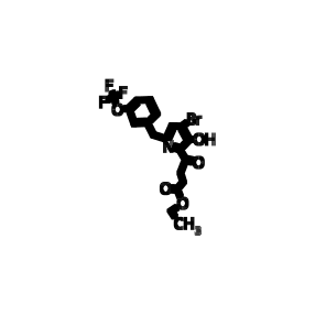 CCOC(=O)CCC(=O)c1nc(Cc2cccc(OC(F)(F)F)c2)cc(Br)c1O